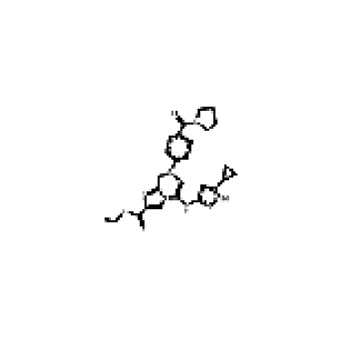 CCOC(=O)C1=C[N+]2C(Nc3cc(C4CC4)[nH]n3)=CN(c3ccc(C(=O)N4CCCC4)cc3)CC2=N1